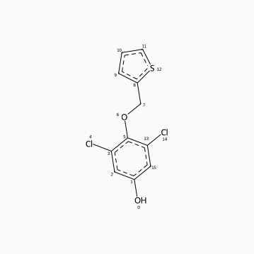 Oc1cc(Cl)c(OCc2cccs2)c(Cl)c1